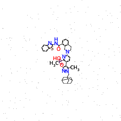 Cc1c(-c2ccc(N3CCc4cccc(C(=O)Nc5nc6ccccc6s5)c4C3)nc2P(C)(=O)O)cnn1CC12CC3CC(CC(C3)C1)C2